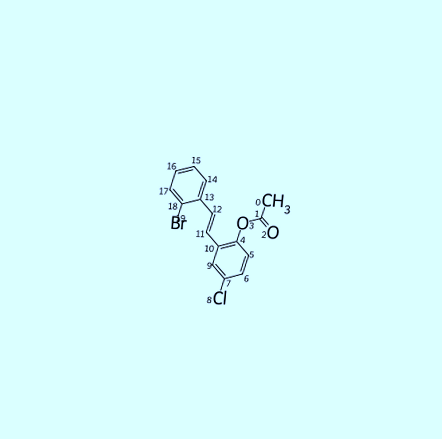 CC(=O)Oc1ccc(Cl)cc1C=Cc1ccccc1Br